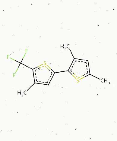 Cc1cc(C)c(-c2cc(C)c(C(F)(F)F)s2)s1